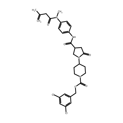 C=C(C)CC(=O)N(C)c1ccc(NC(=O)C2CC(=O)N(C3CCN(C(=O)OCc4cc(Cl)cc(Cl)c4)CC3)C2)cc1